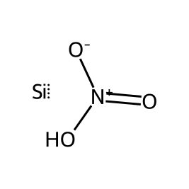 O=[N+]([O-])O.[Si]